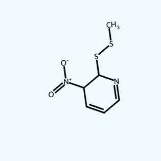 CSSC1N=CC=CC1[N+](=O)[O-]